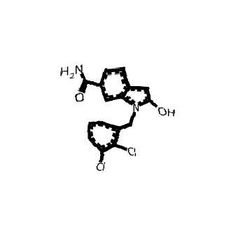 NC(=O)c1ccc2cc(O)n(Cc3cccc(Cl)c3Cl)c2c1